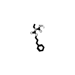 CCN(C(N)=O)C(=O)OCCCC1=CCCC=C1